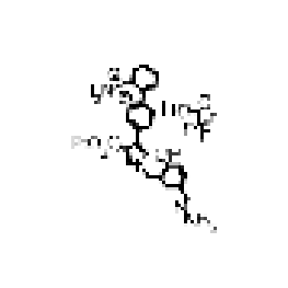 CCOC(=O)c1cn(Cc2cc(C=NN)ccc2O)cc1-c1ccc(-c2ccccc2S(N)(=O)=O)cc1.O=C(O)C(F)(F)F